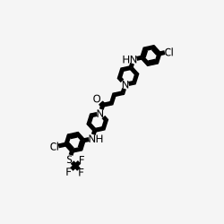 O=C(CCCN1CCC(Nc2ccc(Cl)cc2)CC1)N1CCC(Nc2ccc(Cl)c(SC(F)(F)F)c2)CC1